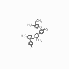 C=Cc1cc(Oc2cc(N3CCN(CC4=C(c5ccc(Cl)cc5)C[C@@H](C)CC4)[C@H](C)C3)ccc2C=O)cnc1N